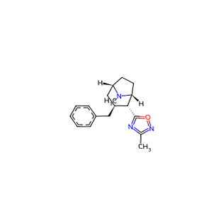 Cc1noc([C@@H]2[C@@H](Cc3ccccc3)C[C@@H]3CC[C@H]2N3C)n1